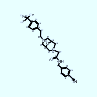 N#Cc1ccc(CNC(=O)CN2CC3CN(CCc4ccc(C(F)(F)F)cc4)CC(C2)O3)cc1